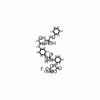 COC(=O)N(OC(=O)C(F)(F)F)c1ccccc1NC(=O)Nc1ccc(C[C@@H](CO)NC[C@H](O)COc2ccccc2)cc1